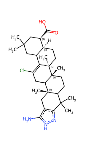 CC1(C)CC2C3=C(Cl)CC4[C@@]5(C)Cc6c(n[nH]c6N)C(C)(C)C5CC[C@@]4(C)[C@]3(C)CC[C@@H]2[C@H](C(=O)O)C1